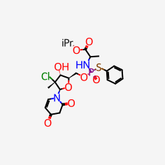 CC(C)OC(=O)C(C)NP(=O)(OC[C@H]1O[C@@H](N2C=CC(=O)CC2=O)[C@](C)(Cl)[C@@H]1O)Sc1ccccc1